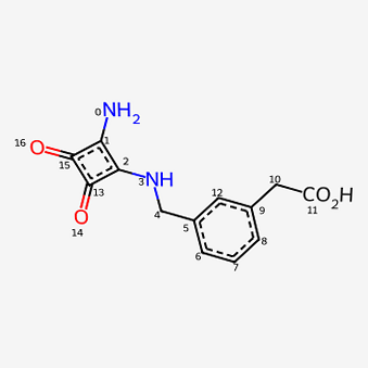 Nc1c(NCc2cccc(CC(=O)O)c2)c(=O)c1=O